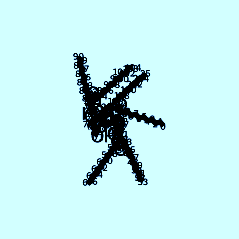 CCCCCCCCCCCC(=O)O[C@H](CCCCCCCCCCC)CC(=O)NC1[C@H](OC[C@@H]2CCCN2C(=O)C[C@@H](CCCCCCCCCCC)OC(=O)CCCCCCCCCCC)OC(CO)[C@@H](C)[C@@H]1OC(=O)C[C@@H](CCCCCCCCCCC)OC(=O)CCCCCCCCCCC